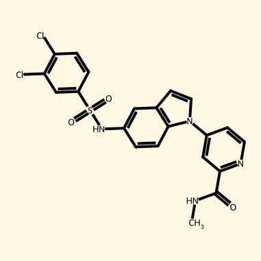 CNC(=O)c1cc(-n2ccc3cc(NS(=O)(=O)c4ccc(Cl)c(Cl)c4)ccc32)ccn1